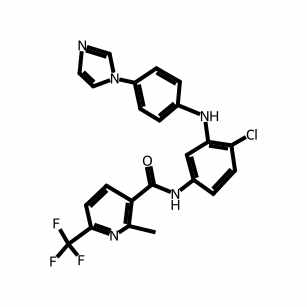 Cc1nc(C(F)(F)F)ccc1C(=O)Nc1ccc(Cl)c(Nc2ccc(-n3ccnc3)cc2)c1